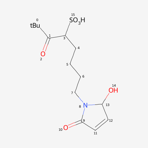 CC(C)(C)C(=O)C(CCCCN1C(=O)C=CC1O)S(=O)(=O)O